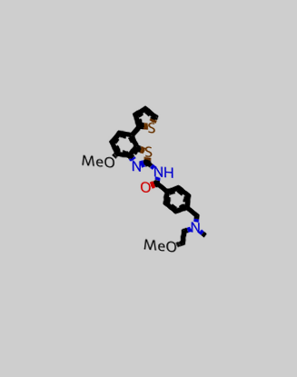 COCCN(C)Cc1ccc(C(=O)Nc2nc3c(OC)ccc(-c4cccs4)c3s2)cc1